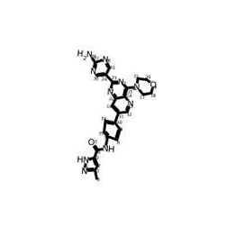 Cc1cc(C(=O)Nc2ccc(-c3cnc4c(N5CCOCC5)nc(-c5cnc(N)nc5)nc4c3)cc2)[nH]n1